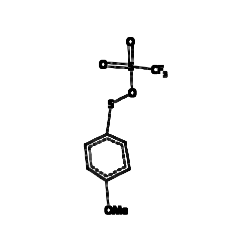 COc1ccc(SOS(=O)(=O)C(F)(F)F)cc1